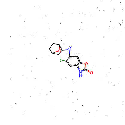 CN(c1cc2oc(=O)[nH]c2cc1F)C1CC2CCC1O2